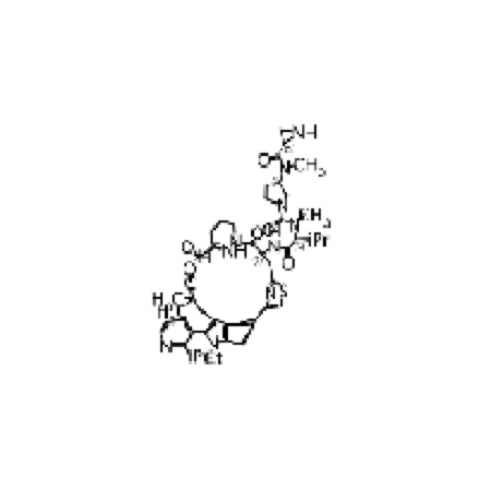 CCn1c(-c2cccnc2C(C)C)c2c3cc(ccc31)-c1csc(n1)C[C@H](NC(=O)[C@H](C(C)C)N(C)C(=O)N1CC[C@@H](N(C)C(=O)[C@@H]3CN3)C1)C(=O)N1CCC[C@H](N1)C(=O)OCC(C)(C)C2